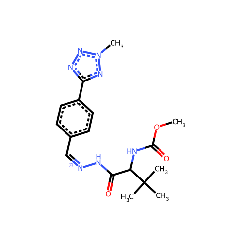 COC(=O)NC(C(=O)N/N=C\c1ccc(-c2nnn(C)n2)cc1)C(C)(C)C